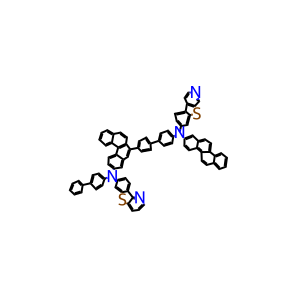 c1ccc(-c2ccc(N(c3ccc4c(c3)cc(-c3ccc(-c5ccc(N(c6ccc7c(ccc8c9ccccc9ccc78)c6)c6ccc7c(c6)sc6cnccc67)cc5)cc3)c3ccc5ccccc5c34)c3ccc4c(c3)sc3cccnc34)cc2)cc1